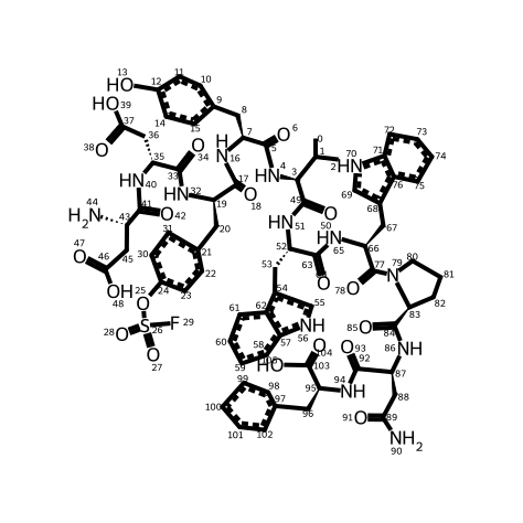 CC(C)[C@H](NC(=O)[C@H](Cc1ccc(O)cc1)NC(=O)[C@@H](Cc1ccc(OS(=O)(=O)F)cc1)NC(=O)[C@@H](CC(=O)O)NC(=O)[C@@H](N)CC(=O)O)C(=O)N[C@@H](Cc1c[nH]c2ccccc12)C(=O)N[C@@H](Cc1c[nH]c2ccccc12)C(=O)N1CCC[C@H]1C(=O)N[C@@H](CC(N)=O)C(=O)N[C@@H](Cc1ccccc1)C(=O)O